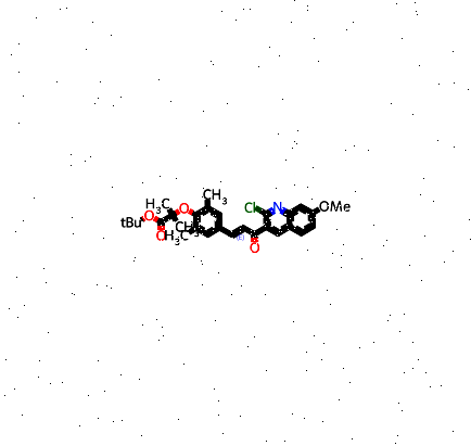 COc1ccc2cc(C(=O)/C=C/c3cc(C)c(OC(C)(C)C(=O)OC(C)(C)C)c(C)c3)c(Cl)nc2c1